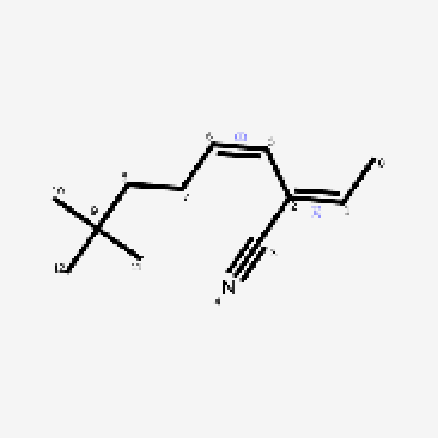 C/C=C(C#N)\C=C/CCC(C)(C)C